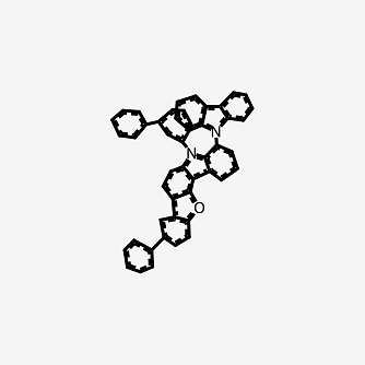 c1ccc(-c2cccc(-n3c4ccc5c6cc(-c7ccccc7)ccc6oc5c4c4cccc(-n5c6ccccc6c6ccccc65)c43)c2)cc1